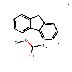 CCOC(C)O.c1ccc2c(c1)Cc1ccccc1-2